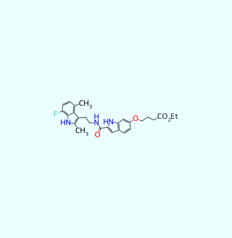 CCOC(=O)CCCOc1ccc2cc(C(=O)NCCc3c(C)[nH]c4c(F)ccc(C)c34)[nH]c2c1